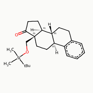 CC(C)(C)[Si](C)(C)OC[C@]12CC[C@@H]3c4ccccc4CC[C@H]3[C@@H]1CCC2=O